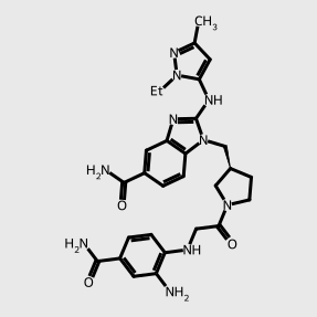 CCn1nc(C)cc1Nc1nc2cc(C(N)=O)ccc2n1C[C@H]1CCN(C(=O)CNc2ccc(C(N)=O)cc2N)C1